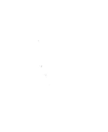 CCNC(=O)c1cccc(C(=O)NCNC(=O)c2ccc(O)cc2)c1